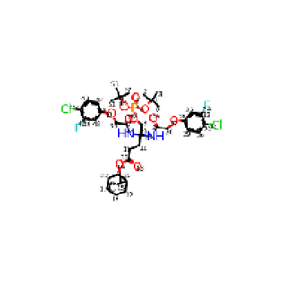 CC(C)(C)OP(=O)(OCC(CCC(=O)OC1CC2CCC1CC2)(NC(=O)COc1ccc(Cl)c(F)c1)NC(=O)COc1ccc(Cl)c(F)c1)OC(C)(C)C